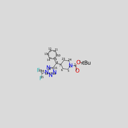 CC(C)(C)OC(=O)N1CCC(C(c2ccccc2)c2nnn(C(F)F)n2)CC1